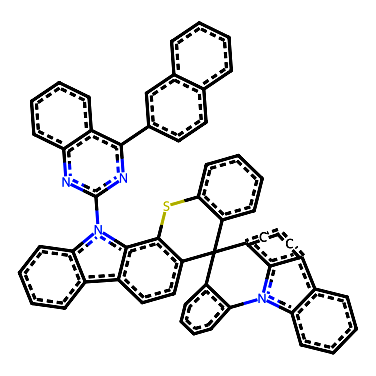 c1ccc2c(c1)Sc1c(ccc3c4ccccc4n(-c4nc(-c5ccc6ccccc6c5)c5ccccc5n4)c13)C21c2ccccc2-n2c3ccccc3c3cccc1c32